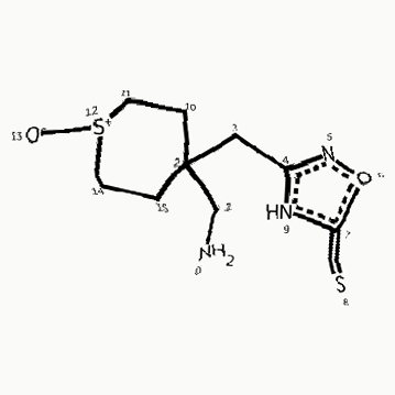 NCC1(Cc2noc(=S)[nH]2)CC[S+]([O-])CC1